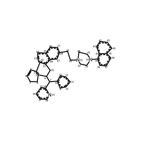 C1=CC2=C(CC1)C(C(c1ccccc1)c1ccccn1)Cc1c2ccc2ccc(CCN3CCN(c4cccc5ccccc45)CC3)cc12